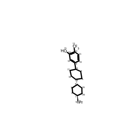 CCC[C@H]1CC[C@H](C2CCC(c3ccc(C(F)(F)F)c(O)c3)CC2)CC1